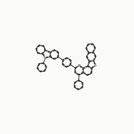 c1ccc(-c2cc(-c3ccc(-c4ccc5c6ccccc6n(-c6ccccc6)c5c4)cc3)nc3c2ccc2sc4cc5ccccc5cc4c23)cc1